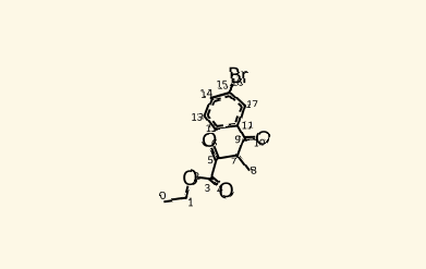 CCOC(=O)C(=O)C(C)C(=O)c1cccc(Br)c1